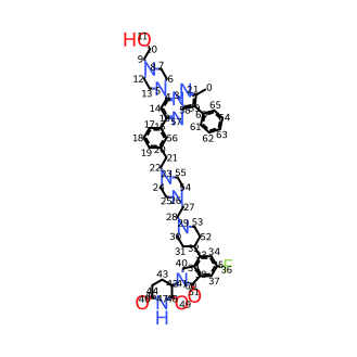 Cc1nn2c(N3CCN(CCO)CC3)cc(-c3cccc(CCN4CCN(CCN5CCC(c6cc(F)cc7c6CN(C6CCC(=O)NC6=O)C7=O)CC5)CC4)c3)nc2c1-c1ccccc1